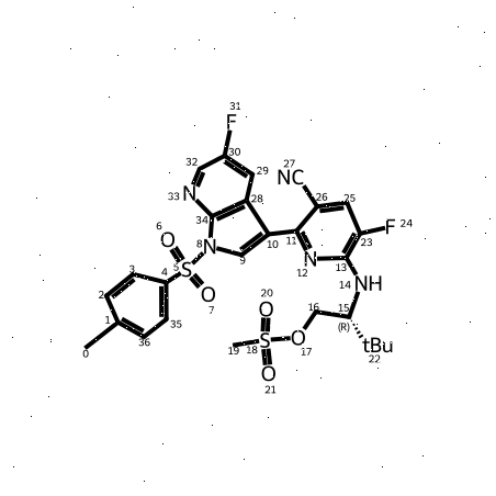 Cc1ccc(S(=O)(=O)n2cc(-c3nc(N[C@@H](COS(C)(=O)=O)C(C)(C)C)c(F)cc3C#N)c3cc(F)cnc32)cc1